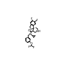 O=C(C1CNCC[C@@]12OCc1cc(F)c(F)cc12)N(Cc1cccc(OC(F)F)c1)C1CC1